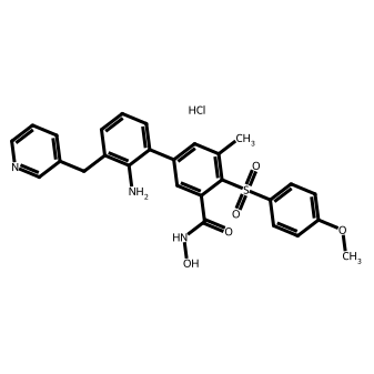 COc1ccc(S(=O)(=O)c2c(C)cc(-c3cccc(Cc4cccnc4)c3N)cc2C(=O)NO)cc1.Cl